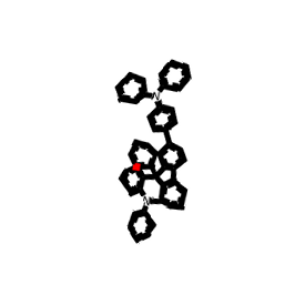 c1ccc(N(c2ccccc2)c2ccc(-c3ccc4c(c3)C3(c5ccccc5)c5ccccc5N(c5ccccc5)c5cccc-4c53)cc2)cc1